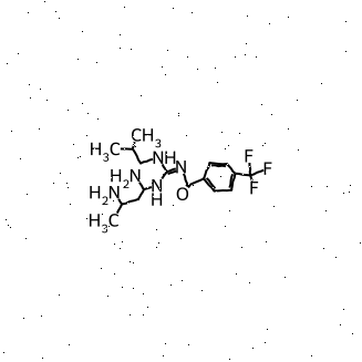 CC(C)CN/C(=N/C(=O)c1ccc(C(F)(F)F)cc1)NC(N)CC(C)N